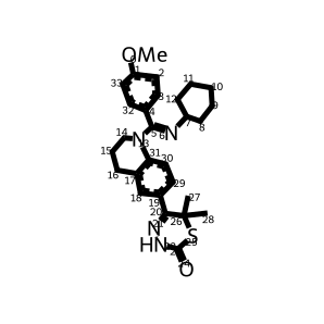 COc1ccc(C(=NC2CCCCC2)N2CCCc3cc(C4=NNC(=O)SC4(C)C)ccc32)cc1